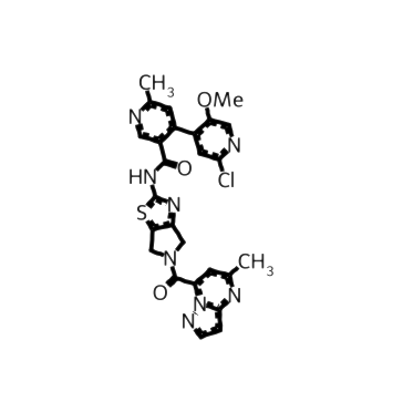 COc1cnc(Cl)cc1-c1cc(C)ncc1C(=O)Nc1nc2c(s1)CN(C(=O)c1cc(C)nc3ccnn13)C2